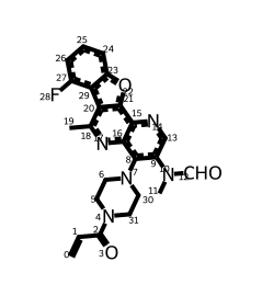 C=CC(=O)N1CCN(c2c(N(C)C=O)cnc3c2nc(C)c2c3oc3cccc(F)c32)CC1